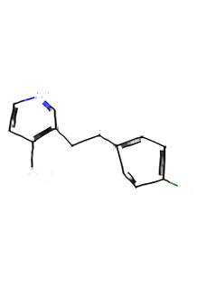 O=C(O)c1ccncc1CCc1ccc(F)cc1